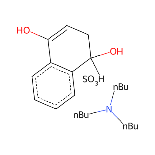 CCCCN(CCCC)CCCC.O=S(=O)(O)C1(O)CC=C(O)c2ccccc21